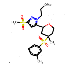 COCCn1nc(S(C)(=O)=O)cc1C1CC(C)(S(=O)(=O)c2cccc(C)c2)CCO1